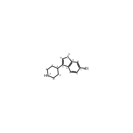 CCc1ccc2c(C3CCNCC3)csc2c1